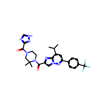 CC(C)c1cc(-c2ccc(C(F)(F)F)cc2)nn2cc(C(=O)N3CCN(C(=O)c4nc[nH]n4)CC3(C)C)nc12